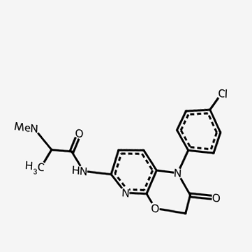 CNC(C)C(=O)Nc1ccc2c(n1)OCC(=O)N2c1ccc(Cl)cc1